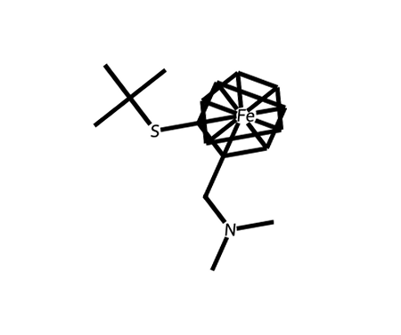 CN(C)C[C]12[CH]3[CH]4[CH]5[C]1(SC(C)(C)C)[Fe]43521678[CH]2[CH]1[CH]6[CH]7[CH]28